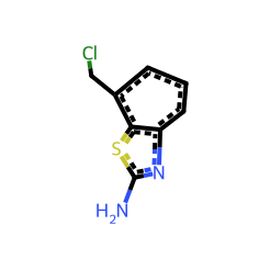 Nc1nc2cccc(CCl)c2s1